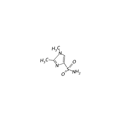 Cc1nc(S(N)(=O)=O)cn1C